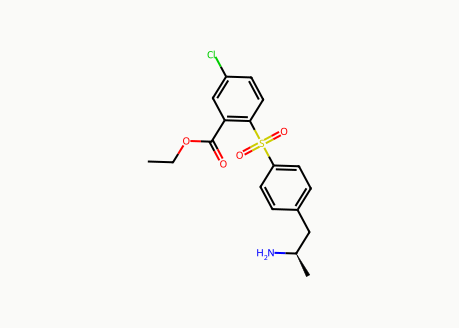 CCOC(=O)c1cc(Cl)ccc1S(=O)(=O)c1ccc(C[C@@H](C)N)cc1